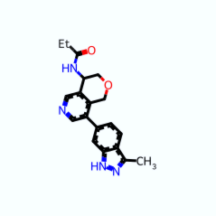 CCC(=O)NC1COCc2c(-c3ccc4c(C)n[nH]c4c3)cncc21